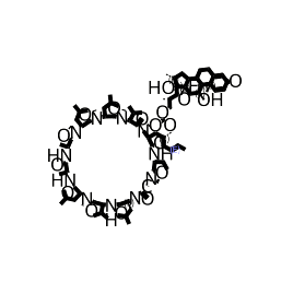 C/C=C/C[C@@H](C)C(OC(=O)OC[CH]C(=O)[C@@]1(O)[C@H](C)CC2C3CCC4=CC(=O)C=C[C@]4(C)[C@@]3(F)[C@@H](O)C[C@@]21C)C1C(=O)NC(CC)C(=O)N(C)CC(=O)N(C)[C@@H](CC(C)C)C(=O)NC(C(C)C)C(=O)N(C)C(CC(C)C)C(=O)NC(C)C(=O)NC(C)C(=O)N(C)C(CC(C)C)C(=O)N(C)C(CC(C)C)C(=O)N(C)C(C(C)C)C(=O)N1C